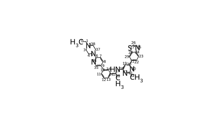 CCN1CCN(c2ccc(-c3cccc(C(C)Nc4cc(-c5ccc6ncsc6c5)nc(C)n4)c3)cn2)CC1